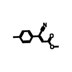 COC(=O)C=C(C#N)c1ccc(C)cc1